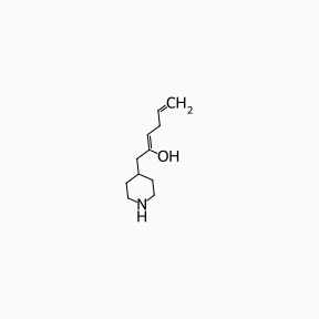 C=CCC=C(O)CC1CCNCC1